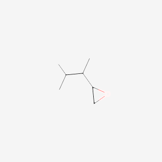 CCC(C)C(C)C1CO1